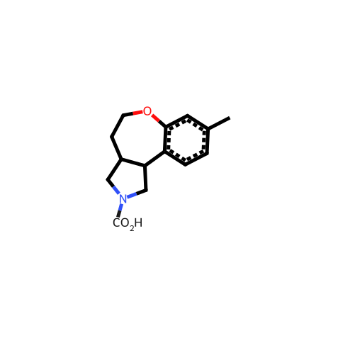 Cc1ccc2c(c1)OCCC1CN(C(=O)O)CC21